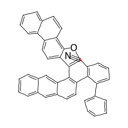 N#Cc1cccc(-c2ccccc2)c1-c1ccc2cc3ccccc3cc2c1-c1coc2c1ccc1c3ccccc3ccc12